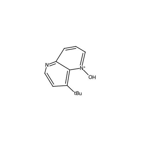 CC(C)(C)c1ccnc2ccc[n+](O)c12